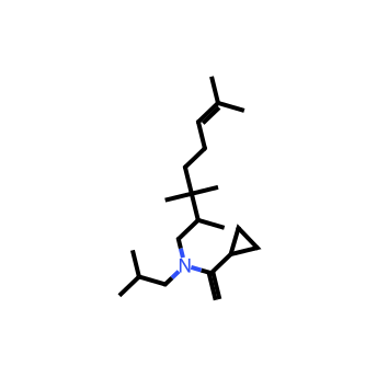 C=C(C1CC1)N(CC(C)C)CC(C)C(C)(C)CCC=C(C)C